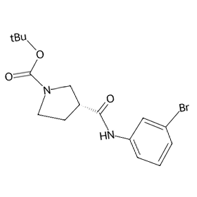 CC(C)(C)OC(=O)N1CC[C@@H](C(=O)Nc2cccc(Br)c2)C1